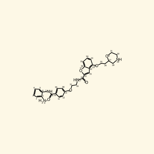 Nc1ccccc1NC(=O)c1ccc(OCCNC(=O)c2cc3c(OCCC4CNCCO4)cccc3o2)cc1